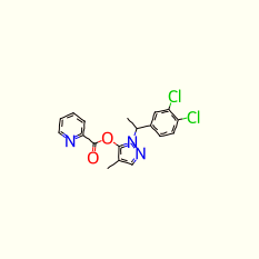 Cc1cnn(C(C)c2ccc(Cl)c(Cl)c2)c1OC(=O)c1ccccn1